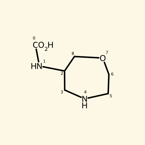 O=C(O)NC1CNCCOC1